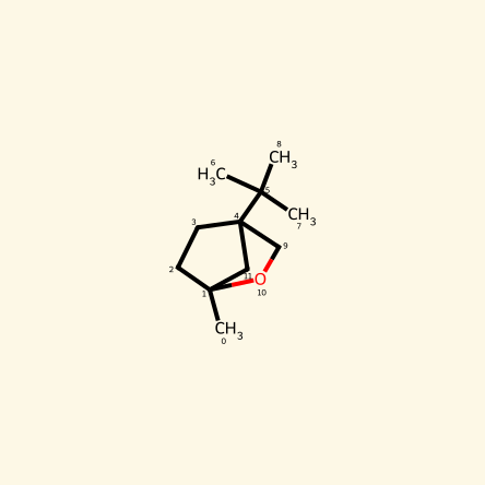 CC12CCC(C(C)(C)C)(CO1)C2